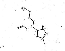 C=CC[C@H](CCCN)C1CC(C)=CN1